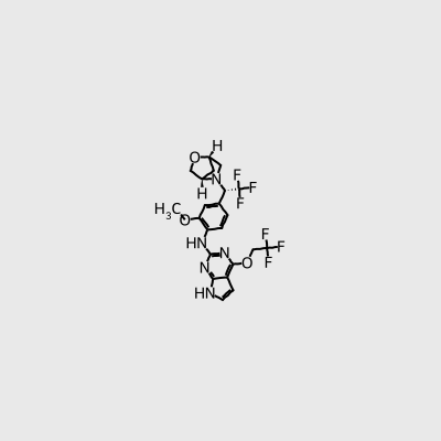 COc1cc([C@H](N2C[C@@H]3C[C@H]2CO3)C(F)(F)F)ccc1Nc1nc(OCC(F)(F)F)c2cc[nH]c2n1